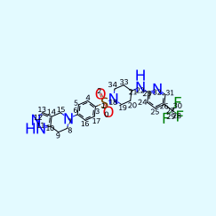 O=S(=O)(c1ccc(N2CCc3[nH]ncc3C2)cc1)N1CCC(Nc2ccc(C(F)(F)F)cn2)CC1